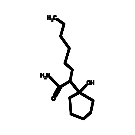 CCCCCCC(C(N)=O)C1(O)CCCCC1